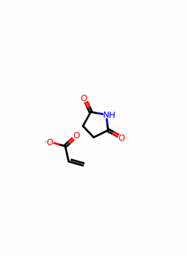 C=CC([O])=O.O=C1CCC(=O)N1